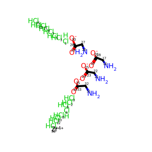 Cl.Cl.Cl.Cl.Cl.Cl.Cl.Cl.Cl.Cl.Cl.Cl.Cl.Cl.Cl.Cl.NCC(=O)[O-].NCC(=O)[O-].NCC(=O)[O-].NCC(=O)[O-].[Zr+4]